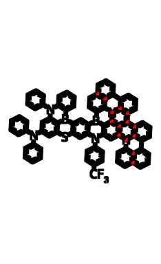 FC(F)(F)c1ccc(N2c3cc4c(cc3B3c5ccccc5N(c5c(-c6ccccc6)cccc5-c5ccccc5)c5cc(N(c6ccccc6)c6c(-c7ccccc7)cccc6-c6ccccc6)cc2c53)B2c3ccccc3N(c3ccccc3)c3cc(N(c5ccccc5)c5ccccc5)cc(c32)S4)cc1